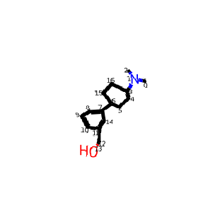 CN(C)C1CCC(c2cccc(CO)c2)CC1